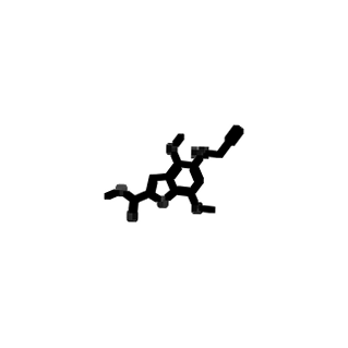 C#CCNc1cc(OC)c2oc(C(=O)OC)cc2c1OC